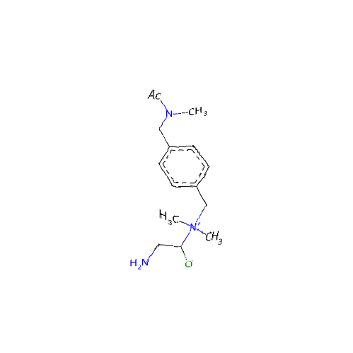 CC(=O)N(C)Cc1ccc(C[N+](C)(C)C(Cl)CN)cc1